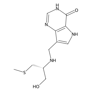 CSC[C@@H](CO)NCc1c[nH]c2c(=O)[nH]cnc12